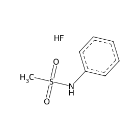 CS(=O)(=O)Nc1ccccc1.F